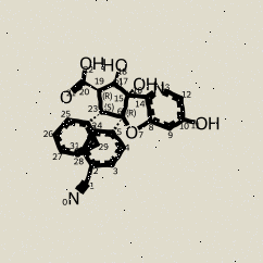 N#Cc1ccc([C@@]23Oc4cc(O)cnc4[C@]2(O)[C@H](O)[C@H](C(=O)O)[C@H]3c2ccccc2)cc1